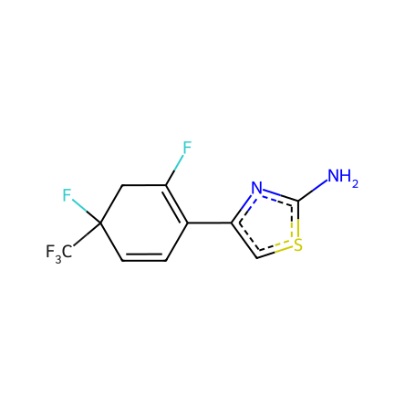 Nc1nc(C2=C(F)CC(F)(C(F)(F)F)C=C2)cs1